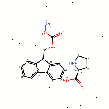 NOC(=O)OCC1c2ccccc2-c2ccccc21.O=C(O)[C@@H]1CCCN1